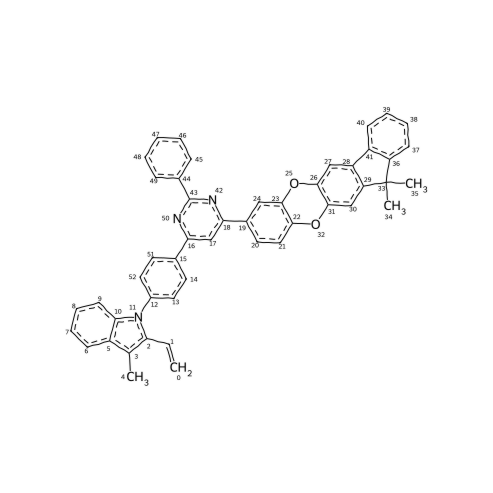 C=Cc1c(C)c2ccccc2n1-c1ccc(-c2cc(-c3ccc4c(c3)Oc3cc5c(cc3O4)C(C)(C)c3ccccc3-5)nc(-c3ccccc3)n2)cc1